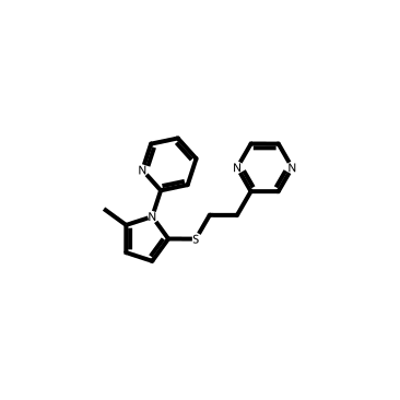 Cc1ccc(SCCc2cnccn2)n1-c1ccccn1